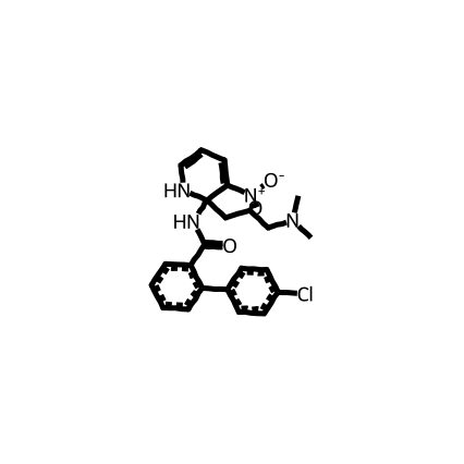 CN(C)CCCC1(NC(=O)c2ccccc2-c2ccc(Cl)cc2)NC=CC=C1[N+](=O)[O-]